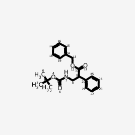 CC(C)(C)OC(=O)NCC(C(=O)OCc1ccccc1)c1ccccc1